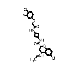 O=C(COc1ccc(Cl)c(F)c1)NC1C=C(NC(=O)[C@H]2C[C@H](NCC(F)(F)F)c3cc(Cl)ccc3O2)C1